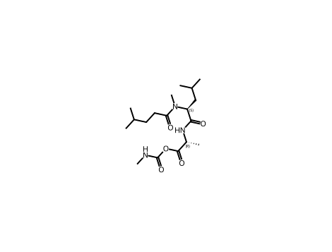 CNC(=O)OC(=O)[C@@H](C)NC(=O)[C@H](CC(C)C)N(C)C(=O)CCC(C)C